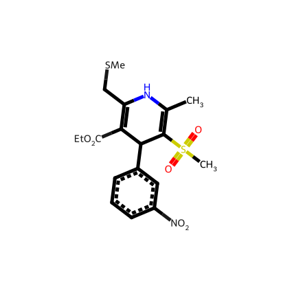 CCOC(=O)C1=C(CSC)NC(C)=C(S(C)(=O)=O)C1c1cccc([N+](=O)[O-])c1